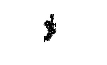 N#CCCC[C@H](NC(=O)N1CCc2c(cccc2-c2ccc(C(F)(F)F)cc2)C1)c1ccccc1